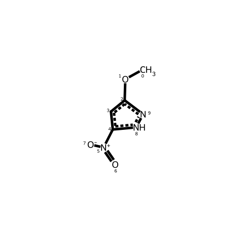 COc1cc([N+](=O)[O-])[nH]n1